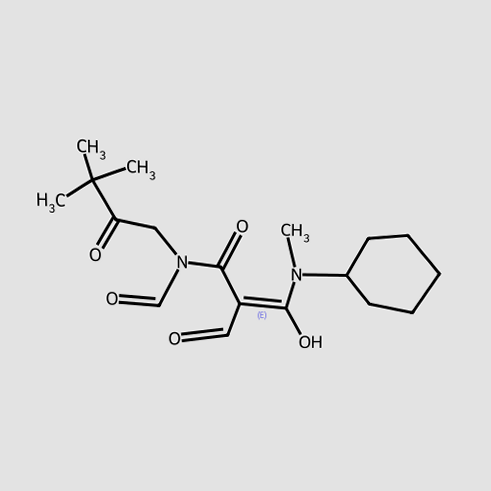 CN(/C(O)=C(/C=O)C(=O)N(C=O)CC(=O)C(C)(C)C)C1CCCCC1